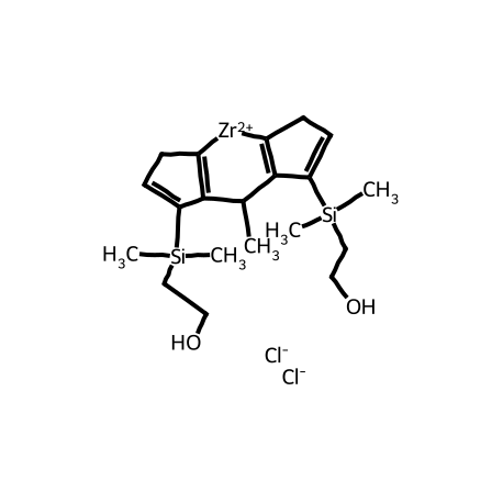 CC1C2=[C](CC=C2[Si](C)(C)CCO)[Zr+2][C]2=C1C([Si](C)(C)CCO)=CC2.[Cl-].[Cl-]